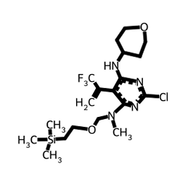 C=C(c1c(NC2CCOCC2)nc(Cl)nc1N(C)COCC[Si](C)(C)C)C(F)(F)F